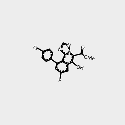 COC(=O)c1c(O)c2cc(F)cc(-c3ccc(Cl)cc3)c2c2ncnn12